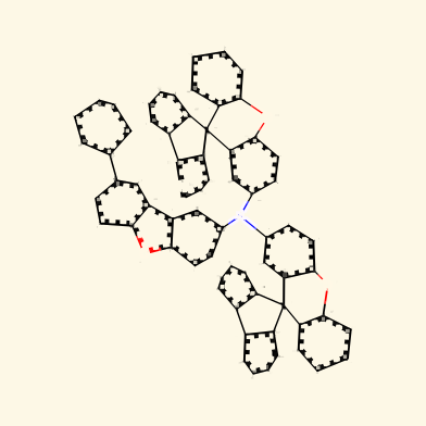 c1ccc(-c2ccc3oc4ccc(N(c5ccc6c(c5)C5(c7ccccc7O6)c6ccccc6-c6ccccc65)c5ccc6c(c5)C5(c7ccccc7O6)c6ccccc6-c6ccccc65)cc4c3c2)cc1